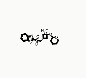 C[C@]1(OC2CCCCO2)C[C@H](CS(=O)(=O)c2nc3ccccc3s2)C1